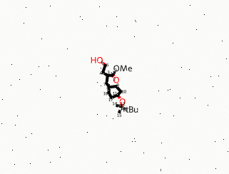 COC(=O)C(CCO)CC1CCC(O[Si](C)(C)C(C)(C)C)CC1